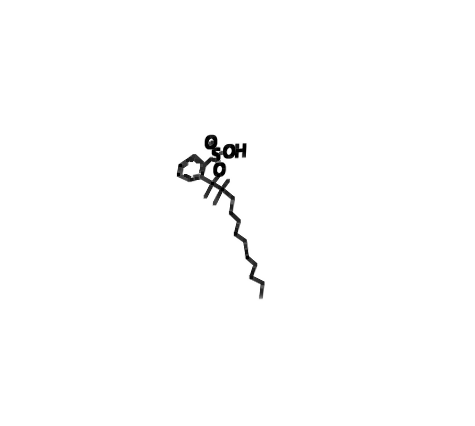 CCCCCCCCCCC(C)(C)C(C)(C)c1ccccc1S(=O)(=O)O